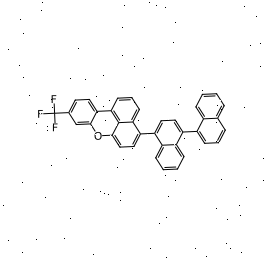 FC(F)(F)c1ccc2c(c1)Oc1ccc(-c3ccc(-c4cccc5ccccc45)c4ccccc34)c3cccc-2c13